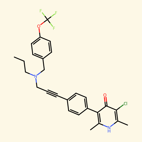 CCCN(CC#Cc1ccc(-c2c(C)[nH]c(C)c(Cl)c2=O)cc1)Cc1ccc(OC(F)(F)F)cc1